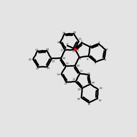 CC1=Cc2ccccc2C1c1c2c(ccc1=C(c1ccccc1)c1ccccc1)=c1ccccc1=[C]2